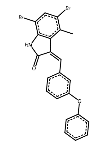 Cc1c(Br)cc(Br)c2c1C(=Cc1cccc(Oc3ccccc3)c1)C(=O)N2